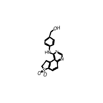 O=S1(=O)CCc2c1ccc1ncnc(Nc3ccc(CO)cc3)c21